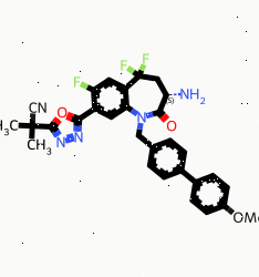 COc1ccc(-c2ccc(CN3C(=O)[C@@H](N)CC(F)(F)c4cc(F)c(-c5nnc(C(C)(C)C#N)o5)cc43)cc2)cc1